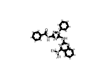 CCN(CC)c1nc(Nc2nc(NC(=O)c3ccccc3)nn2-c2ccccc2)nc2ccccc12